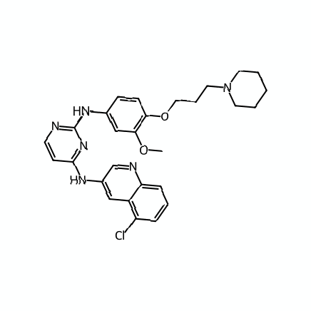 COc1cc(Nc2nccc(Nc3cnc4cccc(Cl)c4c3)n2)ccc1OCCCN1CCCCC1